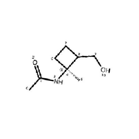 CC(=O)N[C@@]1(C)CCC1CO